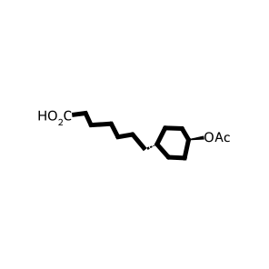 CC(=O)O[C@H]1CC[C@H](CCCCCCC(=O)O)CC1